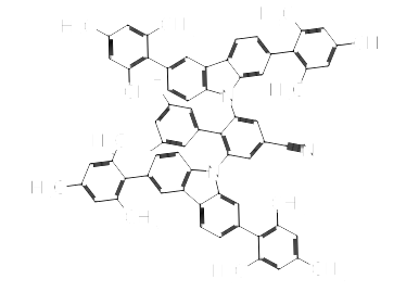 Cc1cc(C)c(-c2ccc3c(c2)c2ccc(-c4c(C)cc(C)cc4C)cc2n3-c2cc(C#N)cc(-n3c4ccc(-c5c(C)cc(C)cc5C)cc4c4ccc(-c5c(C)cc(C)cc5C)cc43)c2-c2cc(F)cc(F)c2)c(C)c1